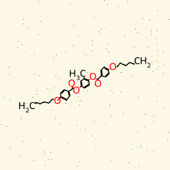 C=CCCCCOc1ccc(C(=O)Oc2ccc(OC(=O)c3ccc(OCCCCC=C)cc3)c(C)c2)cc1